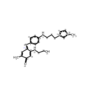 CC1=C/C(=N/c2ccc(NCCCn3cc[n+](C)c3)cc2)C(NCCO)=CC1=O